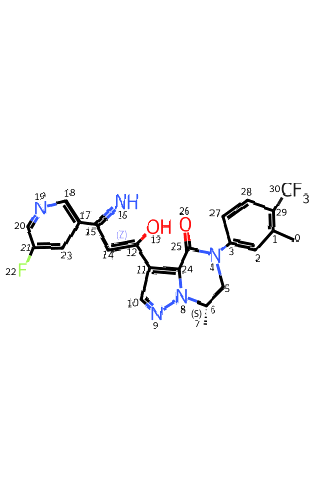 Cc1cc(N2C[C@H](C)n3ncc(/C(O)=C/C(=N)c4cncc(F)c4)c3C2=O)ccc1C(F)(F)F